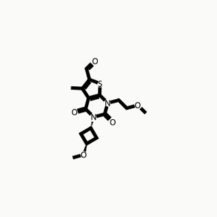 COCCn1c(=O)n([C@H]2C[C@H](OC)C2)c(=O)c2c(C)c(C=O)sc21